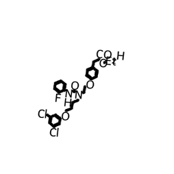 CCOC(Cc1ccc(OCCN(CCCCOc2cc(Cl)cc(Cl)c2)C(=O)Nc2ccccc2F)cc1)C(=O)O